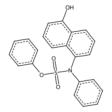 O=S(=O)(Oc1ccccc1)N(c1ccccc1)c1cccc2c(O)cccc12